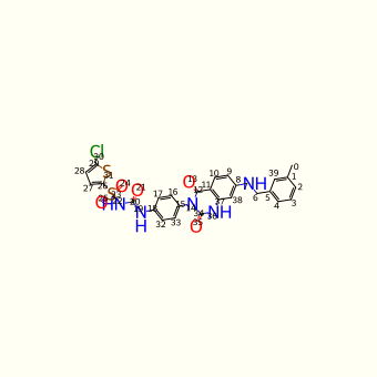 Cc1cccc(CNc2ccc3c(=O)n(-c4ccc(NC(=O)NS(=O)(=O)c5ccc(Cl)s5)cc4)c(=O)[nH]c3c2)c1